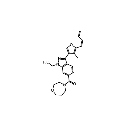 C=C/C=C\c1occ(-c2nn(CC(F)(F)F)c3cc(C(=O)N4CCCOCC4)ncc23)c1C